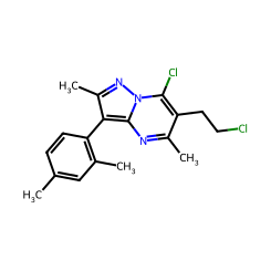 Cc1ccc(-c2c(C)nn3c(Cl)c(CCCl)c(C)nc23)c(C)c1